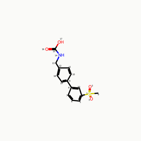 CS(=O)(=O)c1cccc(-c2ccc(CNC(=O)O)cc2)c1